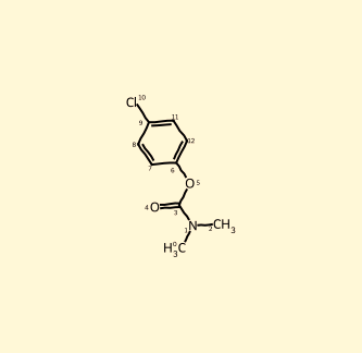 CN(C)C(=O)Oc1ccc(Cl)cc1